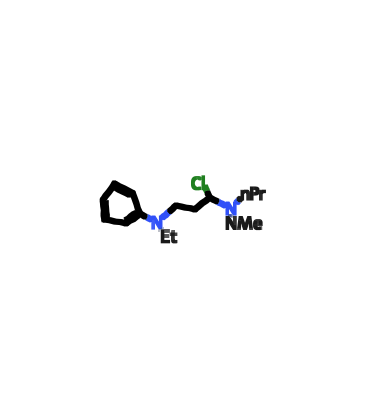 CCCN(NC)C(Cl)CCN(CC)c1ccccc1